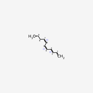 C=C/C=C/C=C\C=C/CCC